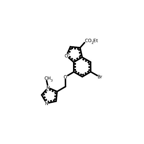 CCOC(=O)c1coc2c(OCc3cncn3C)cc(Br)cc12